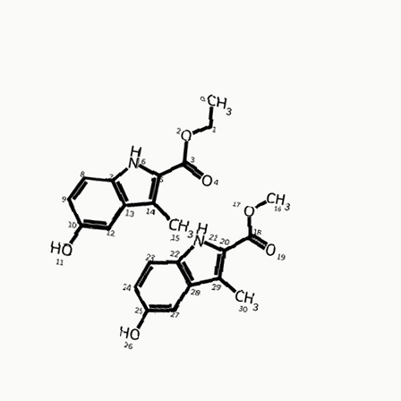 CCOC(=O)c1[nH]c2ccc(O)cc2c1C.COC(=O)c1[nH]c2ccc(O)cc2c1C